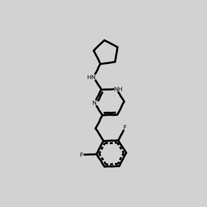 Fc1cccc(F)c1CC1=CCNC(NC2CCCC2)=N1